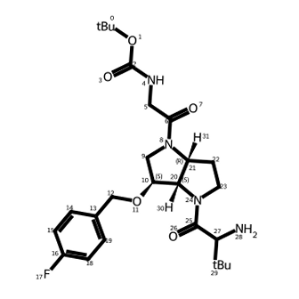 CC(C)(C)OC(=O)NCC(=O)N1C[C@H](OCc2ccc(F)cc2)[C@@H]2[C@H]1CCN2C(=O)C(N)C(C)(C)C